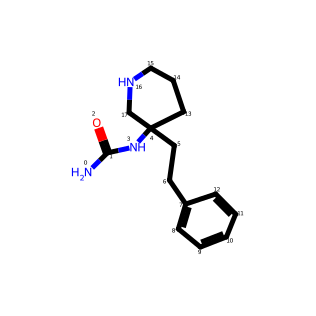 NC(=O)NC1(CCc2ccccc2)CCCNC1